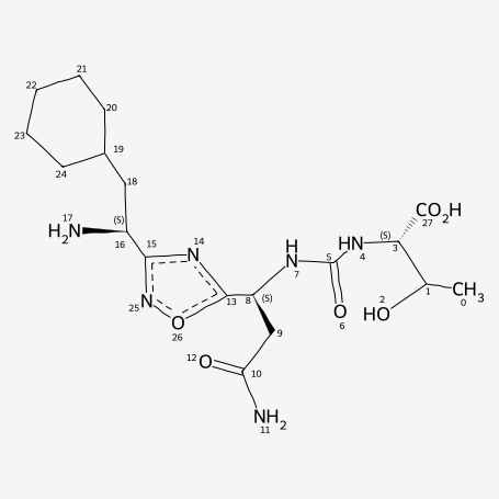 CC(O)[C@H](NC(=O)N[C@@H](CC(N)=O)c1nc([C@@H](N)CC2CCCCC2)no1)C(=O)O